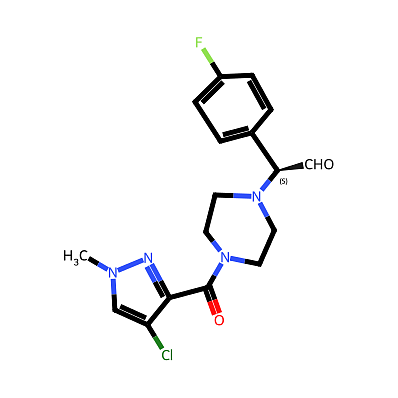 Cn1cc(Cl)c(C(=O)N2CCN([C@H](C=O)c3ccc(F)cc3)CC2)n1